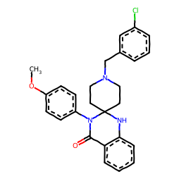 COc1ccc(N2C(=O)c3ccccc3NC23CCN(Cc2cccc(Cl)c2)CC3)cc1